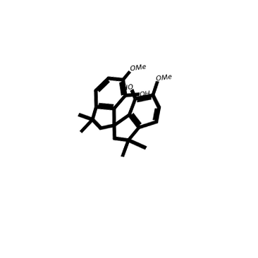 COc1ccc2c(c1O)C1(CC2(C)C)CC(C)(C)c2ccc(OC)c(O)c21